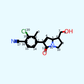 Cc1c(C2=CC3C(CO)CCN3C2=O)ccc(C#N)c1Cl